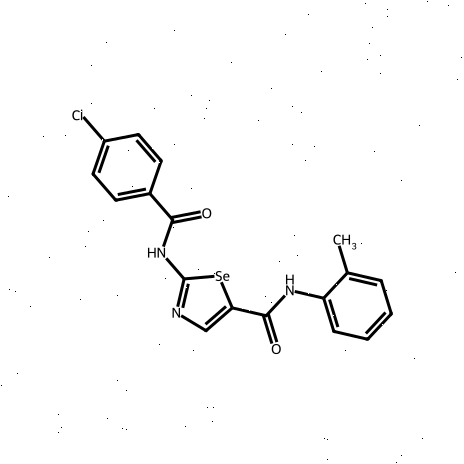 Cc1ccccc1NC(=O)c1cnc(NC(=O)c2ccc(Cl)cc2)[se]1